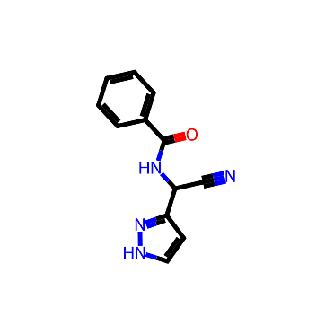 N#CC(NC(=O)c1ccccc1)c1cc[nH]n1